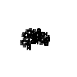 CCN(N[C@@H](Cc1c[nH]c2ccccc12)C(=O)O)C(Cc1ccc2ccccc2c1)C(=O)N(C)Cc1ccc(Cl)c(Cl)c1